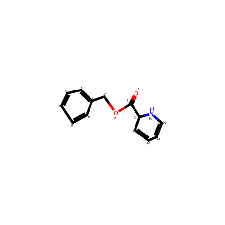 O=C(OCc1ccccc1)C1C=CC=CN1